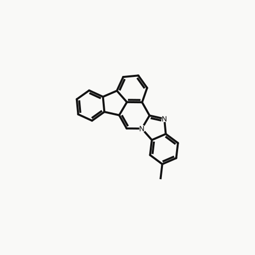 Cc1ccc2nc3c4cccc5c6ccccc6c(cn3c2c1)c54